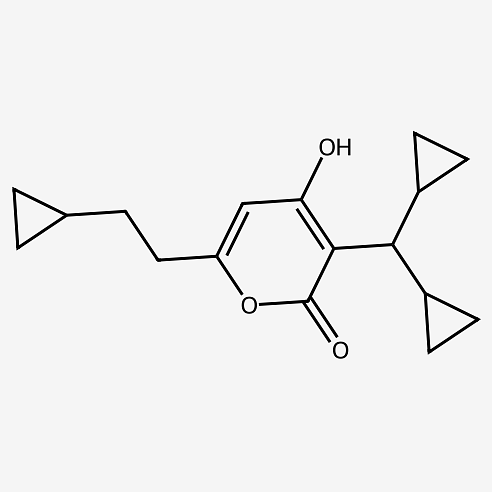 O=c1oc(CCC2CC2)cc(O)c1C(C1CC1)C1CC1